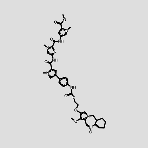 COC(=O)c1cc(NC(=O)c2nc(NC(=O)c3cc(-c4ccc(NC(=O)CCCOc5cn6c(c5OC)C=[N+]([O-])C5=CCCCC5C6)cc4)cn3C)cn2C)cn1C